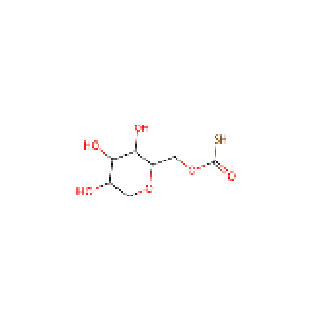 O=C(S)OCC1OCC(O)C(O)C1O